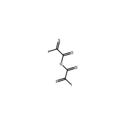 O=C(OC(=O)C(=S)I)C(=S)I